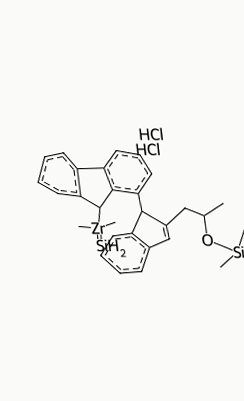 CC(CC1=Cc2ccccc2C1c1cccc2c1[CH]([Zr]([CH3])([CH3])=[SiH2])c1ccccc1-2)O[Si](C)(C)C.Cl.Cl